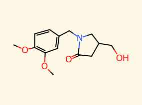 COc1ccc(CN2CC(CO)CC2=O)cc1OC